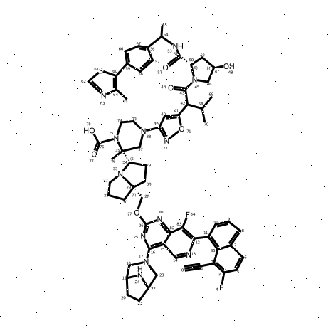 C#Cc1c(F)ccc2cccc(-c3ncc4c(N5CC6CCC(C5)N6)nc(OC[C@]56CCCN5[C@H](C5(C)CN(c7cc(C(C(=O)N8C[C@H](O)C[C@H]8C(=O)NC(C)c8ccc(-c9scnc9C)cc8)C(C)C)on7)CCN5C(=O)O)CC6)nc4c3F)c12